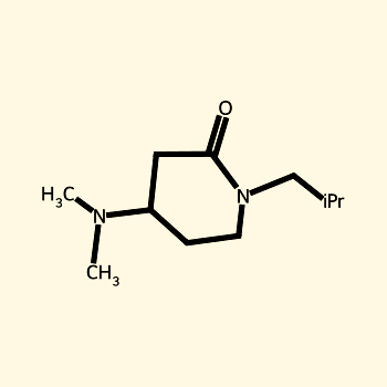 CC(C)CN1CCC(N(C)C)CC1=O